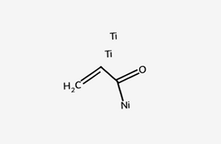 C=C[C](=O)[Ni].[Ti].[Ti]